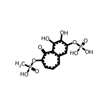 CP(=O)(O)Oc1cccc2cc(OP(=O)(O)O)c(O)c(O)c2c1=O